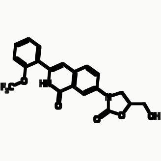 O=C1OC(CO)CN1c1ccc2cc(-c3ccccc3OC(F)(F)F)[nH]c(=O)c2c1